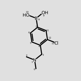 CN(C)Cc1ccc(B(O)O)cc1Cl